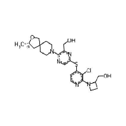 C[C@H]1CC2(CCN(c3ncc(Sc4ccnc(N5CCC5CO)c4Cl)nc3CO)CC2)CO1